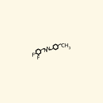 CCc1ccc(C=NN=Cc2ccc(F)c(F)c2)cc1